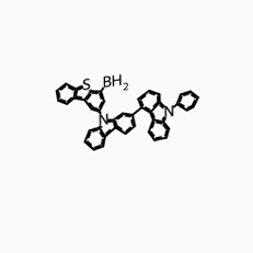 Bc1cc(-n2c3ccccc3c3ccc(-c4cccc5c4c4ccccc4n5-c4ccccc4)cc32)cc2c1sc1ccccc12